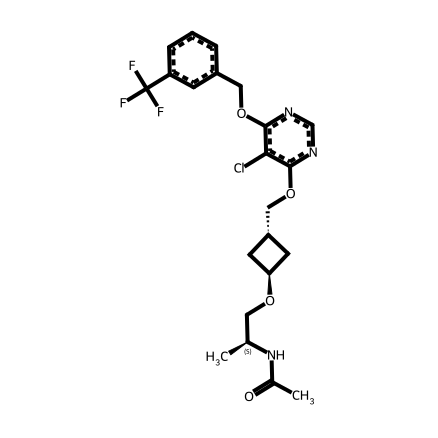 CC(=O)N[C@@H](C)CO[C@H]1C[C@H](COc2ncnc(OCc3cccc(C(F)(F)F)c3)c2Cl)C1